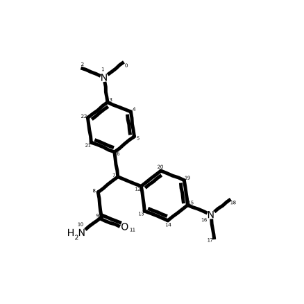 CN(C)c1ccc(C(CC(N)=O)c2ccc(N(C)C)cc2)cc1